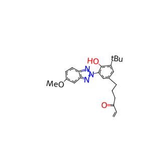 C=CC(=O)CCCc1cc(-n2nc3ccc(OC)cc3n2)c(O)c(C(C)(C)C)c1